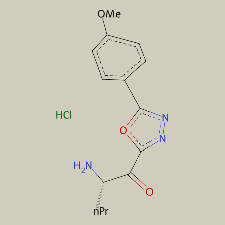 CCC[C@H](N)C(=O)c1nnc(-c2ccc(OC)cc2)o1.Cl